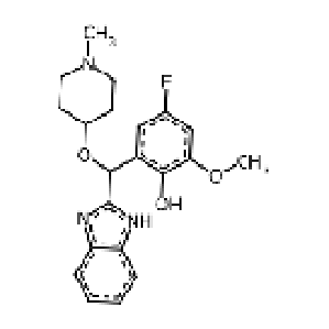 COc1cc(F)cc(C(OC2CCN(C)CC2)c2nc3ccccc3[nH]2)c1O